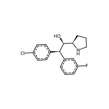 O[C@H]([C@H](c1ccc(Cl)cc1)c1cccc(F)c1)[C@H]1CCCN1